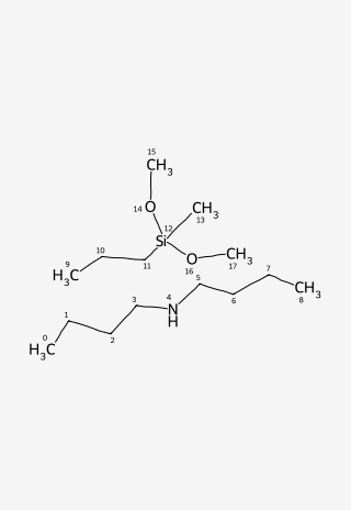 CCCCNCCCC.CCC[Si](C)(OC)OC